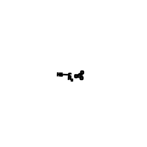 CS.o1oo1